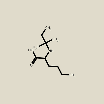 CCCCC(NC(C)(C)CC)C(=O)O